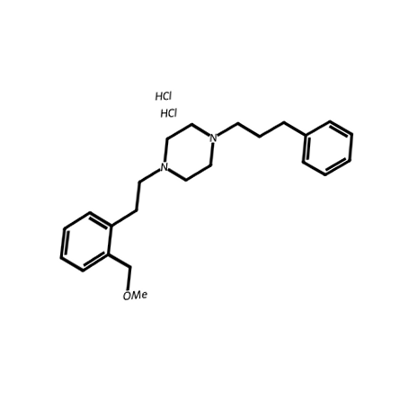 COCc1ccccc1CCN1CCN(CCCc2ccccc2)CC1.Cl.Cl